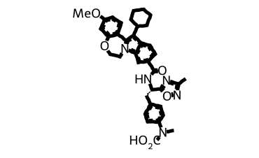 COc1ccc2c(c1)OCCn1c-2c(C2CCCCC2)c2ccc(C(=O)N[C@@H](Cc3ccc(N(C)C(=O)O)cc3)c3nc(C)no3)cc21